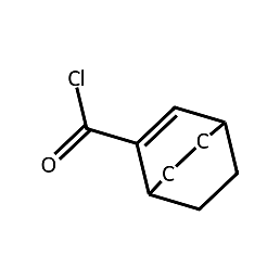 O=C(Cl)C1=CC2CCC1CC2